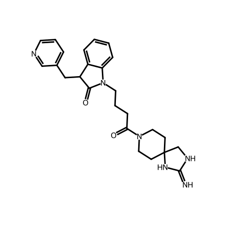 N=C1NCC2(CCN(C(=O)CCCN3C(=O)C(Cc4cccnc4)c4ccccc43)CC2)N1